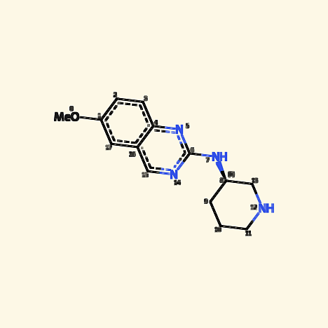 COc1ccc2nc(N[C@@H]3CCCNC3)ncc2c1